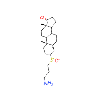 C[C@]12CC[C@@H]([S@+]([O-])CCCN)C=C1CCC1C2CC[C@]2(C)C(=O)CCC12